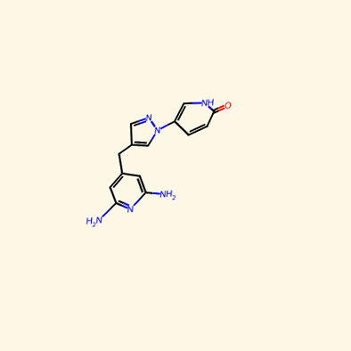 Nc1cc(Cc2cnn(-c3ccc(=O)[nH]c3)c2)cc(N)n1